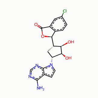 Nc1ncnc2c1ccn2[C@@H]1C[C@H]([C@H]2OC(=O)c3cc(Cl)ccc32)[C@@H](O)[C@H]1O